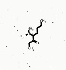 CCCCC(C(=O)CC)N(C)N